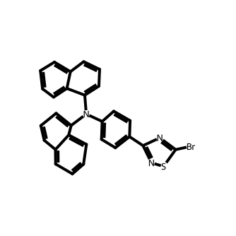 Brc1nc(-c2ccc(N(c3cccc4ccccc34)c3cccc4ccccc34)cc2)ns1